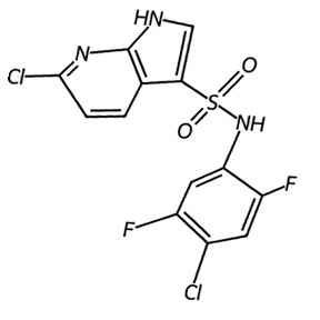 O=S(=O)(Nc1cc(F)c(Cl)cc1F)c1c[nH]c2nc(Cl)ccc12